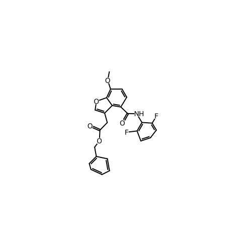 COc1ccc(C(=O)Nc2c(F)cccc2F)c2c(CC(=O)OCc3ccccc3)coc12